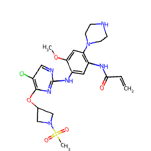 C=CC(=O)Nc1cc(Nc2ncc(Cl)c(OC3CN(S(C)(=O)=O)C3)n2)c(OC)cc1N1CCNCC1